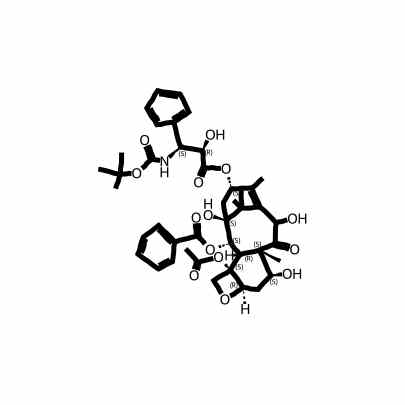 CC(=O)O[C@@]12CO[C@@H]1C[C@H](O)[C@@]1(C)C(=O)C(O)C3=C(C)[C@@H](OC(=O)[C@H](O)[C@@H](NC(=O)OC(C)(C)C)c4ccccc4)C[C@@](O)([C@@H](OC(=O)c4ccccc4)[C@H]21)C3(C)C